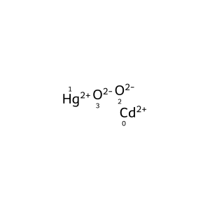 [Cd+2].[Hg+2].[O-2].[O-2]